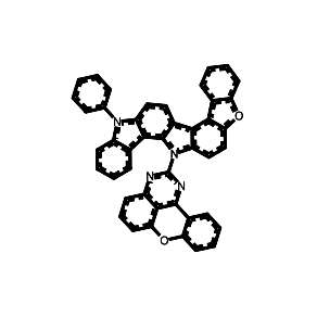 c1ccc(-n2c3ccccc3c3c2ccc2c4c5c(ccc4n(-c4nc6c7c(cccc7n4)Oc4ccccc4-6)c23)oc2ccccc25)cc1